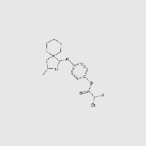 CCC(I)C(=O)Oc1ccc(OC2OC(C)CC23CCCCC3)cc1